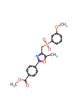 COC(=O)c1ccc(-c2nc(CS(=O)(=O)c3cccc(OC)c3)c(C)o2)cc1